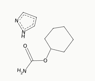 NC(=O)OC1CCCCC1.c1cn[nH]c1